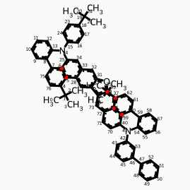 CC(C)(C)c1ccc(-c2ccccc2N(c2ccc(C(C)(C)C)cc2)c2ccc3cc4c(cc3c2)oc2cc3cc(N(c5cccc(-c6ccccc6)c5)c5ccccc5-c5ccc(C(C)(C)C)cc5)ccc3cc24)cc1